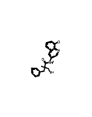 CC(C)CC(C)(Cc1ccccc1)C(=O)Nc1cnc2c(Cl)cccc2c1